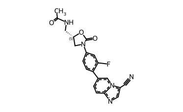 CC(=O)NC[C@H]1CN(c2ccc(-c3ccc4ncc(C#N)n4c3)c(F)c2)C(=O)O1